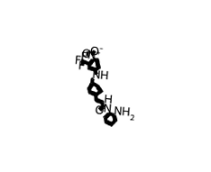 Nc1ccccc1NC(=O)C=Cc1ccc(CNc2ccc([N+](=O)[O-])c(C(F)(F)F)c2)cc1